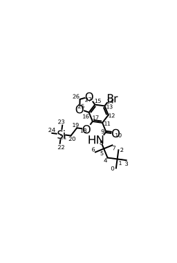 CC(C)(C)CC(C)(C)NC(=O)c1cc(Br)c2c(c1OCC[Si](C)(C)C)OCO2